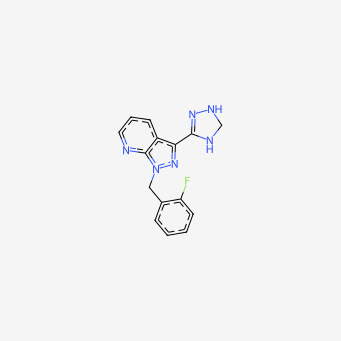 Fc1ccccc1Cn1nc(C2=NNCN2)c2cccnc21